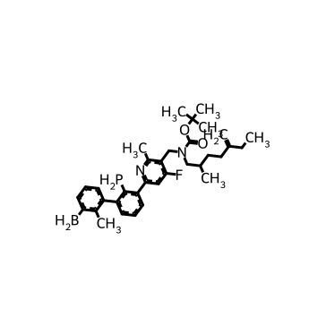 Bc1cccc(-c2cccc(-c3cc(F)c(CN(CC(C)CCC(=C)CC)C(=O)OC(C)(C)C)c(C)n3)c2P)c1C